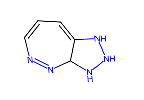 C1=CN=NC2NNNC2=C1